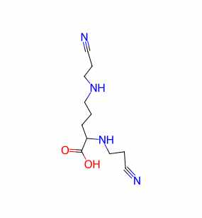 N#CCCNCCCC(NCCC#N)C(=O)O